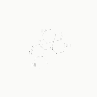 Nc1ncc(Br)c(N2CCNC(=O)C23CCNCC3)c1Cl